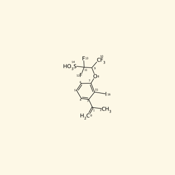 C=C(C)c1cccc(OC(C(F)(F)F)C(F)(F)S(=O)(=O)O)c1I